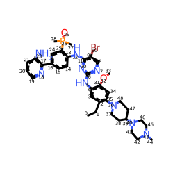 CCc1cc(Nc2ncc(Br)c(Nc3ccc(-c4ncccc4N)cc3P(C)(C)=O)n2)c(OC)cc1N1CCC(N2CCN(C)CC2)CC1